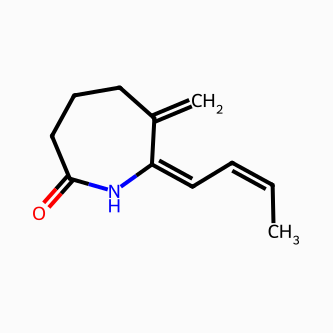 C=C1CCCC(=O)N/C1=C/C=C\C